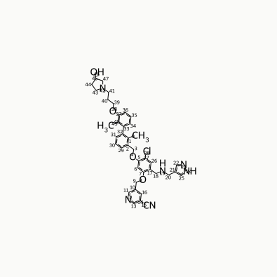 Cc1c(COc2cc(OCc3cncc(C#N)c3)c(CNCc3cn[nH]c3)cc2Cl)cccc1-c1cccc(OCCCN2CC[C@@H](O)C2)c1C